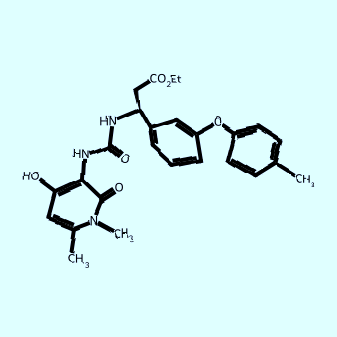 CCOC(=O)C[C@H](NC(=O)Nc1c(O)cc(C)n(C)c1=O)c1cccc(Oc2ccc(C)cc2)c1